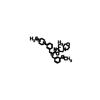 COc1cccc(CN(Cc2cccc(N3CCN(C)CC3)c2)c2nc(C)c(CN3CCOCC3)o2)c1